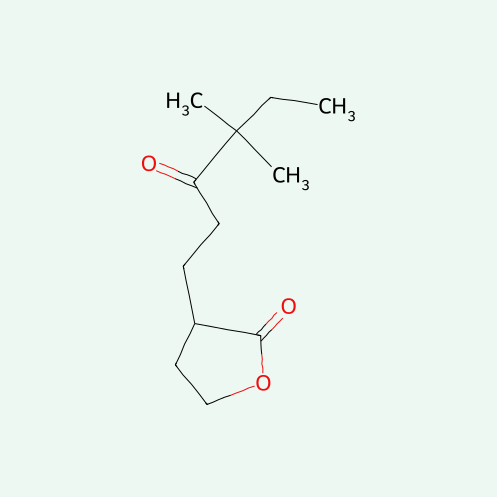 CCC(C)(C)C(=O)CCC1CCOC1=O